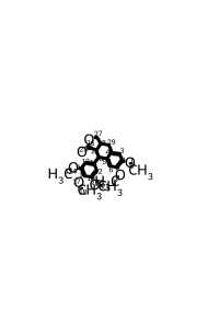 COc1cc2c(cc1OC)C(c1cc(OC)c(OC)c(OC)c1)C1C(=O)OCC1C2